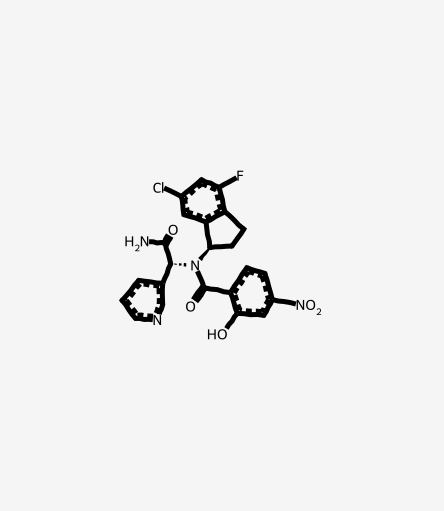 NC(=O)[C@@H](c1cccnc1)N(C(=O)c1ccc([N+](=O)[O-])cc1O)[C@@H]1CCc2c(F)cc(Cl)cc21